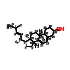 CC(C)[C@@H](C)C=C[C@@H](C)[C@H]1CC[C@H]2C3=CC=C4CC(O)CC[C@]4(C)[C@H]3CC[C@]12C